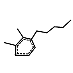 CCCCCc1cc[c]c(C)c1C